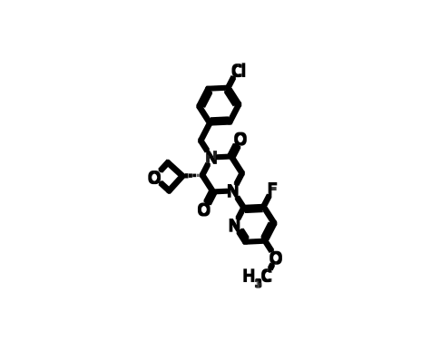 COc1cnc(N2CC(=O)N(Cc3ccc(Cl)cc3)[C@@H](C3COC3)C2=O)c(F)c1